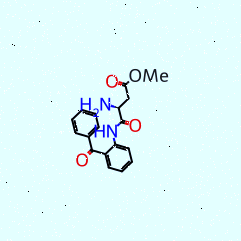 COC(=O)C[C@H](N)C(=O)Nc1ccccc1C(=O)c1ccccc1